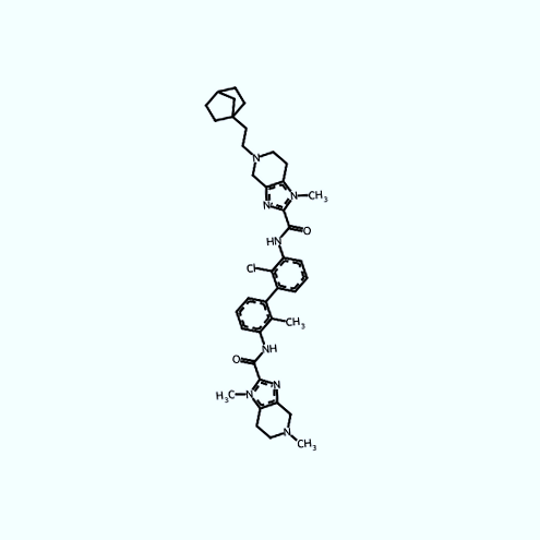 Cc1c(NC(=O)c2nc3c(n2C)CCN(C)C3)cccc1-c1cccc(NC(=O)c2nc3c(n2C)CCN(CCC24CCC(CC2)C4)C3)c1Cl